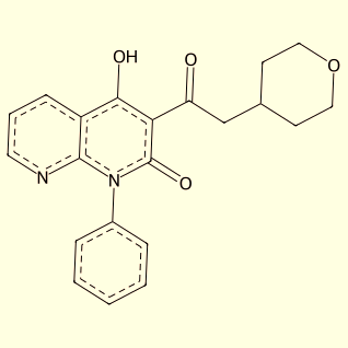 O=C(CC1CCOCC1)c1c(O)c2cccnc2n(-c2ccccc2)c1=O